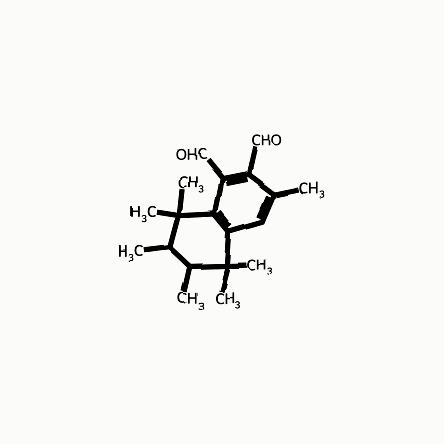 Cc1cc2c(c(C=O)c1C=O)C(C)(C)C(C)C(C)C2(C)C